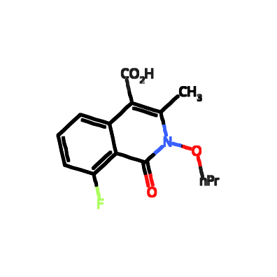 CCCOn1c(C)c(C(=O)O)c2cccc(F)c2c1=O